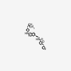 CN(C)Cc1ccc(Nc2ncc3cc(C#CCNC(=O)c4cccn(Cc5cccnc5)c4=O)cnc3n2)cc1